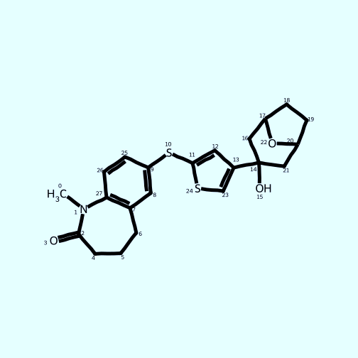 CN1C(=O)CCCc2cc(Sc3cc(C4(O)CC5CCC(C4)O5)cs3)ccc21